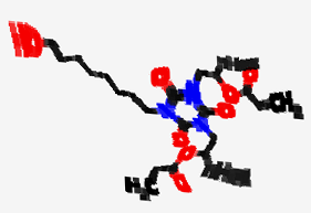 C=CC(=O)OC(CCCCCC)Cn1c(=O)n(CCCCCCCCO)c(=O)n(CC(CCCCCC)OC(=O)C=C)c1=O